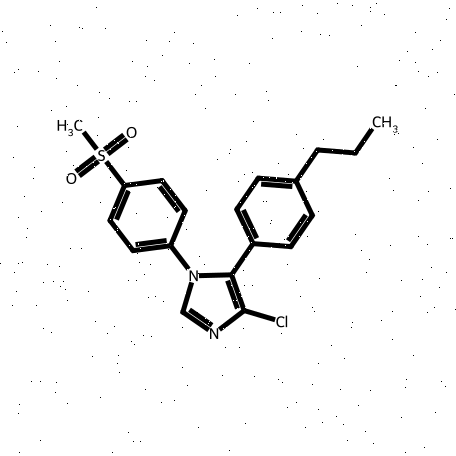 CCCc1ccc(-c2c(Cl)ncn2-c2ccc(S(C)(=O)=O)cc2)cc1